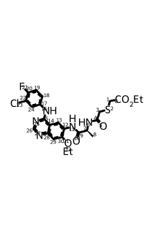 CCOC(=O)CSCC(=O)N[C@@H](C)C(=O)Nc1cc2c(Nc3ccc(F)c(Cl)c3)ncnc2cc1OCC